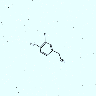 CCc1ccc(C)c(F)n1